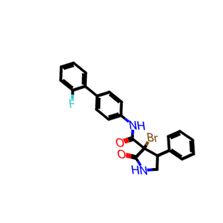 O=C1NCC(c2ccccc2)C1(Br)C(=O)Nc1ccc(-c2ccccc2F)cc1